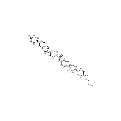 CCCCCC1CCC(c2ccc(-c3ccc(OC(=O)C4CCC(C(=O)Oc5ccc(N6CCN(C)CC6)cc5)CC4)cc3)cc2)CC1